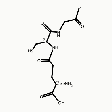 [CH2]C(=O)CNC(=O)[C@H](CS)NC(=O)CC[C@H](N)C(=O)O